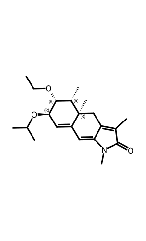 CCO[C@H]1[C@H](OC(C)C)C=C2C=C3C(=C(C)C(=O)N3C)C[C@]2(C)[C@H]1C